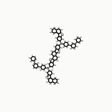 c1ccc(-c2cccc(-c3ccc(N(c4ccc5c(c4)oc4c5ccc5c4ccc4c6ccc(N(c7ccc(-c8cccc(-c9ccccc9)c8)cc7)c7ccc8c(c7)oc7ccc9ccccc9c78)cc6oc45)c4ccc5c(c4)oc4ccc6ccccc6c45)cc3)c2)cc1